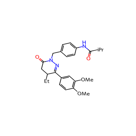 CCC1CC(=O)N(Cc2ccc(NC(=O)C(C)C)cc2)N=C1c1ccc(OC)c(OC)c1